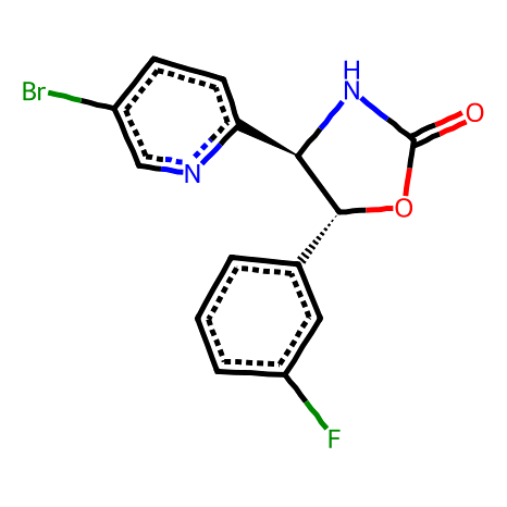 O=C1N[C@H](c2ccc(Br)cn2)[C@@H](c2cccc(F)c2)O1